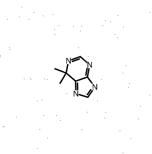 CC1(C)N=CN=C2N=CN=C21